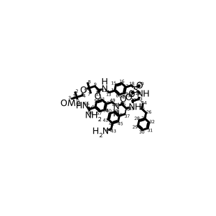 COC(C)(C)COC(C)(C)CC(=O)NCc1ccc(CS(=O)(=O)N[C@H](CCCc2ccccc2)C(=O)N[C@@H](Cc2cccc(CN)c2)C(=O)NCc2ccc(C(=N)N)cc2)cc1